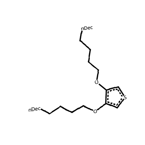 CCCCCCCCCCCCCCOc1cscc1OCCCCCCCCCCCCCC